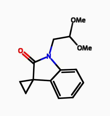 COC(CN1C(=O)C2(CC2)c2ccccc21)OC